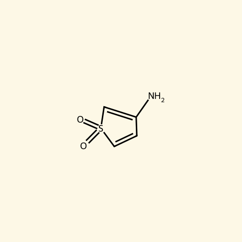 NC1=CS(=O)(=O)C=C1